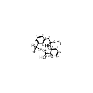 CC(Cc1cccc(C(F)(F)F)c1)Nc1ccccc1C(=O)O